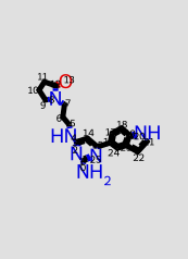 Nc1nc(NCCCN2CCCC2=O)cc(-c2ccc3[nH]ccc3c2)n1